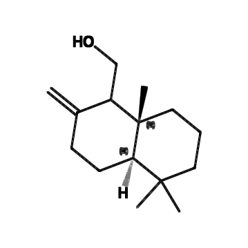 C=C1CC[C@@H]2C(C)(C)CCC[C@@]2(C)C1CO